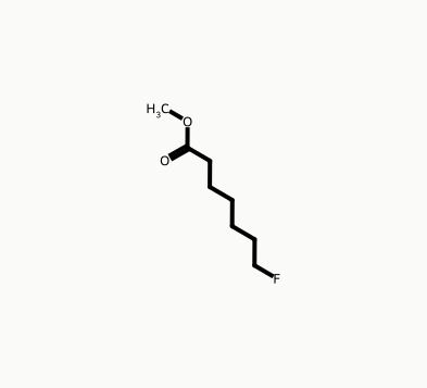 COC(=O)CCCCCCF